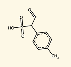 Cc1ccc(C([C]=O)S(=O)(=O)O)cc1